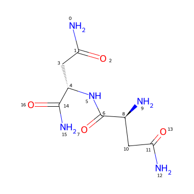 NC(=O)C[C@H](NC(=O)[C@@H](N)CC(N)=O)C(N)=O